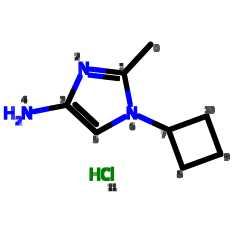 Cc1nc(N)cn1C1CCC1.Cl